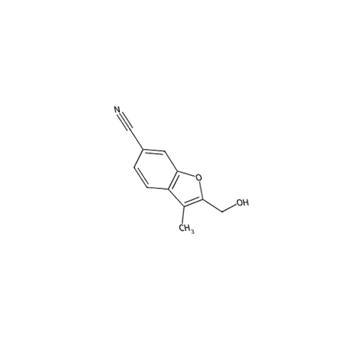 Cc1c(CO)oc2cc(C#N)ccc12